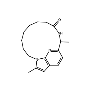 Cc1cc2ccc3nc2n1CCCCCCCC(=O)NC3C